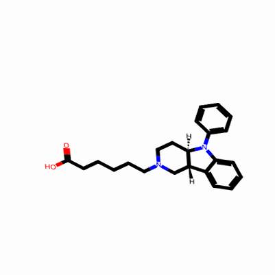 O=C(O)CCCCCN1CC[C@@H]2[C@@H](C1)c1ccccc1N2c1ccccc1